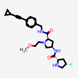 COCCN1C[C@H](NC(=O)[C@@H]2C[C@H](F)CN2)C[C@@H]1C(=O)NCc1ccc(C#CC2CC2)cc1